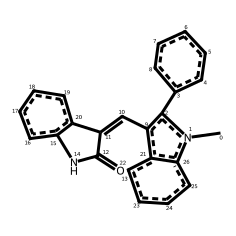 Cn1c(-c2ccccc2)c(C=C2C(=O)Nc3ccccc32)c2ccccc21